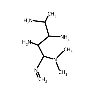 C=NC(C(N)C(N)C(C)N)N(C)C